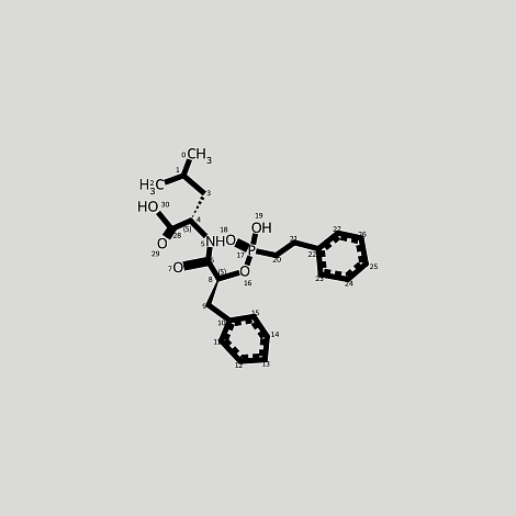 CC(C)C[C@H](NC(=O)[C@H](Cc1ccccc1)OP(=O)(O)CCc1ccccc1)C(=O)O